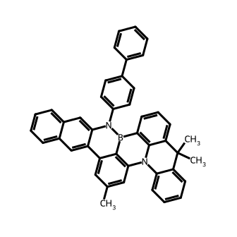 Cc1cc2c3c(c1)N1c4ccccc4C(C)(C)c4cccc(c41)B3N(c1ccc(-c3ccccc3)cc1)c1cc3ccccc3cc1-2